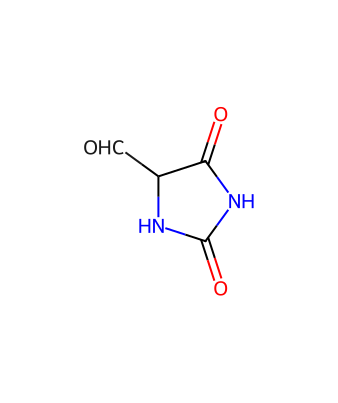 O=CC1NC(=O)NC1=O